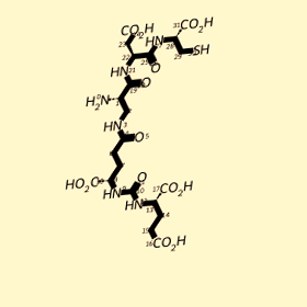 N[C@@H](CNC(=O)CC[C@H](NC(=O)N[C@@H](CCC(=O)O)C(=O)O)C(=O)O)C(=O)N[C@@H](CC(=O)O)C(=O)N[C@@H](CS)C(=O)O